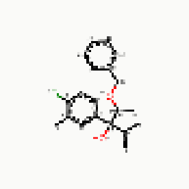 C=C(C)C(O)(c1ccc(F)c(C)c1)[C@H](C)OCc1ccccc1